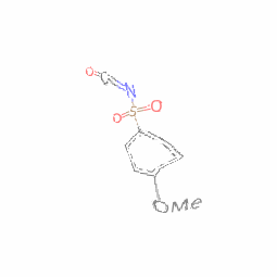 COc1ccc(S(=O)(=O)N=C=O)cc1